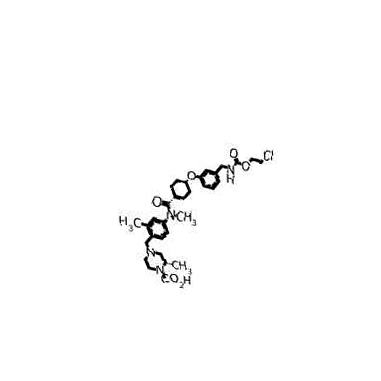 Cc1cc(N(C)C(=O)[C@H]2CC[C@H](Oc3cccc(CNC(=O)OCCCl)c3)CC2)ccc1CN1CCN(C(=O)O)[C@@H](C)C1